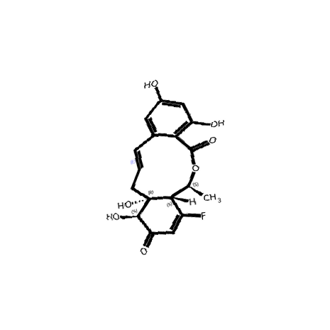 C[C@@H]1OC(=O)c2c(O)cc(O)cc2/C=C/C[C@]2(O)[C@H](O)C(=O)C=C(F)[C@@H]12